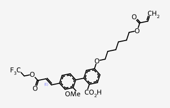 C=CC(=O)OCCCCCCOc1ccc(C(=O)O)c(-c2ccc(/C=C/C(=O)OCC(F)(F)F)cc2OC)c1